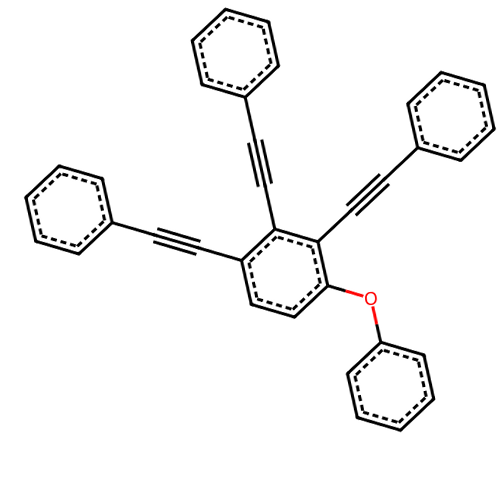 C(#Cc1ccc(Oc2ccccc2)c(C#Cc2ccccc2)c1C#Cc1ccccc1)c1ccccc1